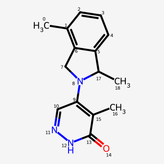 Cc1cccc2c1CN(c1cn[nH]c(=O)c1C)C2C